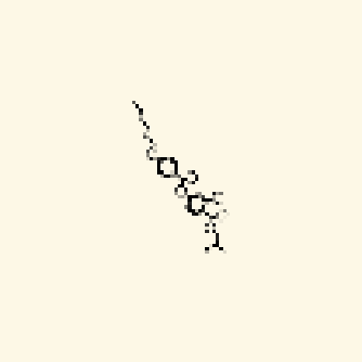 CCCCCCOc1ccc(C(=O)Oc2ccc(C(=O)OCC(C)CC)c(Cl)c2)cc1